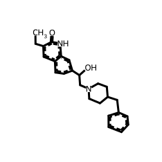 CCc1cc2ccc(C(O)CN3CCC(Cc4ccccc4)CC3)cc2[nH]c1=O